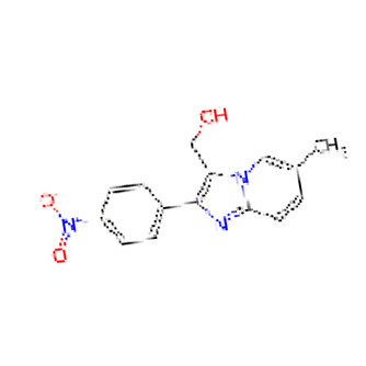 Cc1ccc2nc(-c3ccc([N+](=O)[O-])cc3)c(CO)n2c1